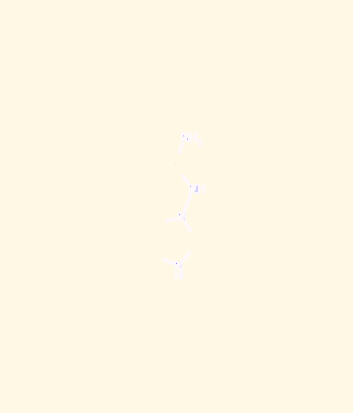 NC(=O)NN1CC(O)NC1O